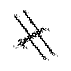 C/C=c1\nc(OC)/c(=C/c2ccc(-c3cc(CCCCCCCCCCCCCCCCC)c4c(sc5cc6c(cc54)sc4c(CCCCCCCCCCCCCCCCC)c(-c5ccc(C)s5)cc(CCCCCCCCCCCCCCCCC)c46)c3CCCCCCCCCCCCCCCCC)s2)nc1OC